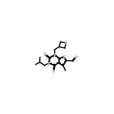 Cc1c(C=O)sc2c1c(=O)n(CC(C)C)c(=O)n2CC1COC1